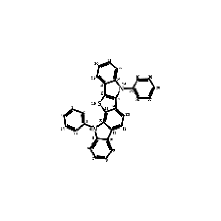 c1ccc(-n2c3ccccc3c3ccc4c(sc5c6ccccc6n(-c6ccccc6)c45)c32)cc1